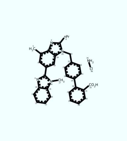 CCCc1nc2c(C)cc(-c3nc4ccccc4n3C)cc2n1Cc1ccc(-c2ccccc2C(=O)O)cc1.NCl